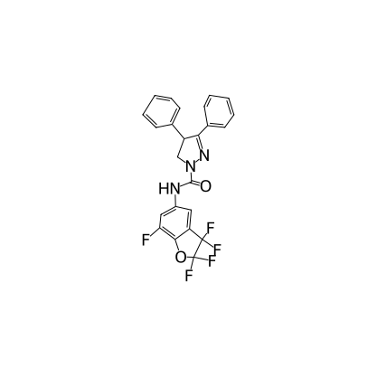 O=C(Nc1cc(F)c2c(c1)C(F)(F)C(F)(F)O2)N1CC(c2ccccc2)C(c2ccccc2)=N1